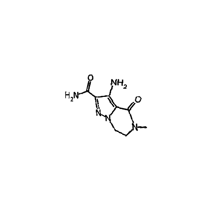 CN1CCn2nc(C(N)=O)c(N)c2C1=O